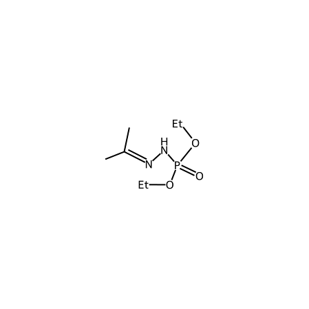 CCOP(=O)(NN=C(C)C)OCC